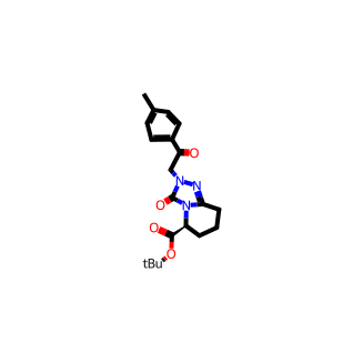 Cc1ccc(C(=O)Cn2nc3n(c2=O)[C@H](C(=O)OC(C)(C)C)CCC3)cc1